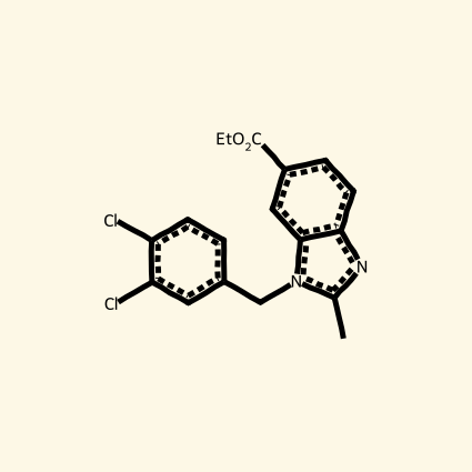 CCOC(=O)c1ccc2nc(C)n(Cc3ccc(Cl)c(Cl)c3)c2c1